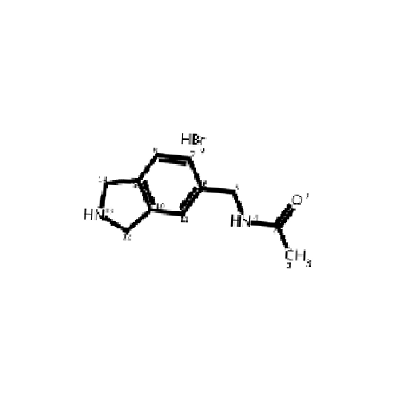 Br.CC(=O)NCc1ccc2c(c1)CNC2